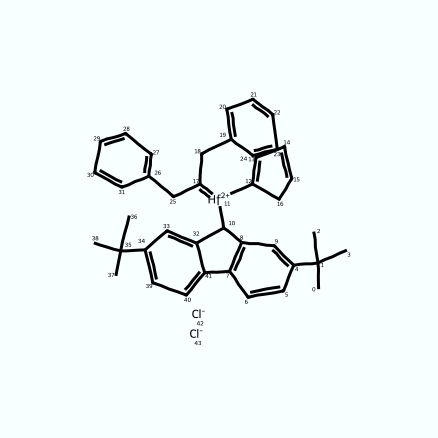 CC(C)(C)c1ccc2c(c1)[CH]([Hf+2]([C]1=CC=CC1)=[C](Cc1ccccc1)Cc1ccccc1)c1cc(C(C)(C)C)ccc1-2.[Cl-].[Cl-]